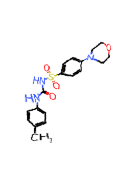 Cc1ccc(NC(=O)NS(=O)(=O)c2ccc(N3CCOCC3)cc2)cc1